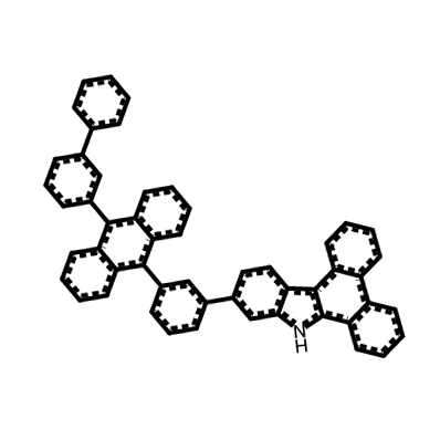 c1ccc(-c2cccc(-c3c4ccccc4c(-c4cccc(-c5ccc6c(c5)[nH]c5c7ccccc7c7ccccc7c65)c4)c4ccccc34)c2)cc1